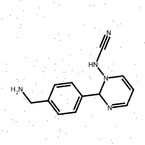 N#CNN1C=CC=NC1c1ccc(CN)cc1